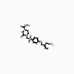 CC(C)(C)C(=O)N1CCN(CS(=O)(=O)c2ccc(OC/C(=C/F)CN)cc2)C(=O)C1